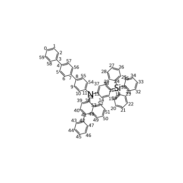 c1ccc(-c2ccc(-c3ccc(N(c4ccc([Si](c5ccccc5)(c5ccccc5)c5ccccc5)cc4)c4ccc(-c5ccccc5)c5ccccc45)cc3)cc2)cc1